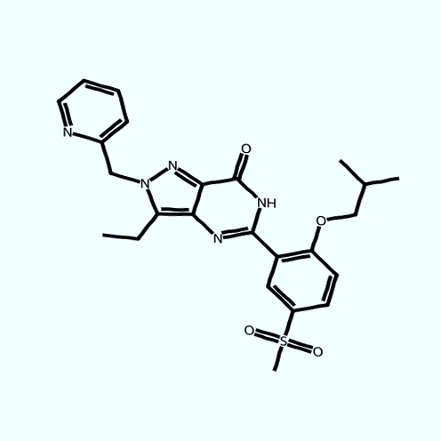 CCc1c2nc(-c3cc(S(C)(=O)=O)ccc3OCC(C)C)[nH]c(=O)c2nn1Cc1ccccn1